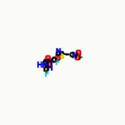 CC(C)(C)OC(=O)N1CCC(C#Cc2cc3nccc(Oc4ccc(NC(=O)C5(C(=O)Nc6ccc(F)cc6)CC5)cc4F)c3s2)CC1